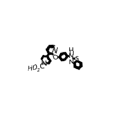 O=C(O)N1CC=C(c2cccnc2Oc2ccc(Nc3nc4ccccc4s3)cc2)CC1